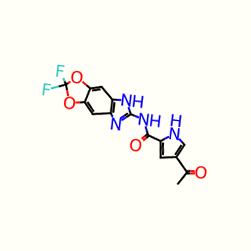 CC(=O)c1c[nH]c(C(=O)Nc2nc3cc4c(cc3[nH]2)OC(F)(F)O4)c1